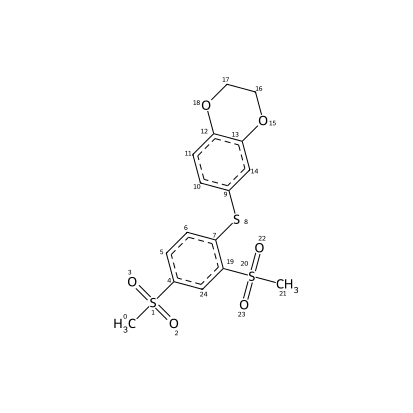 CS(=O)(=O)c1ccc(Sc2ccc3c(c2)OCCO3)c(S(C)(=O)=O)c1